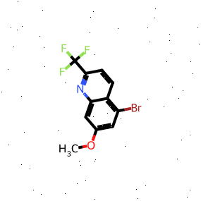 COc1cc(Br)c2ccc(C(F)(F)F)nc2c1